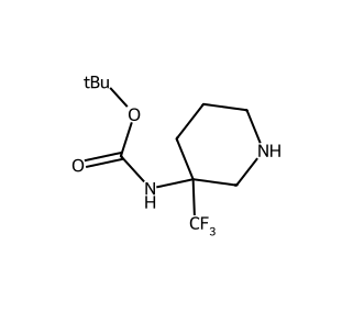 CC(C)(C)OC(=O)NC1(C(F)(F)F)CCCNC1